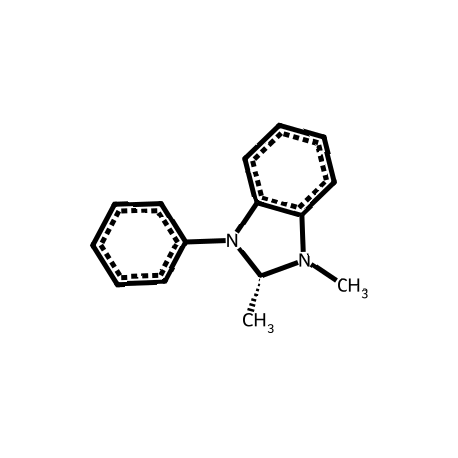 C[C@H]1N(C)c2ccccc2N1c1ccccc1